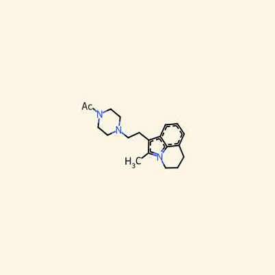 CC(=O)N1CCN(CCc2c(C)n3c4c(cccc24)CCC3)CC1